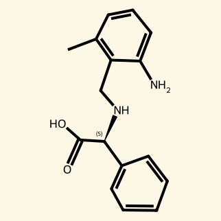 Cc1cccc(N)c1CN[C@H](C(=O)O)c1ccccc1